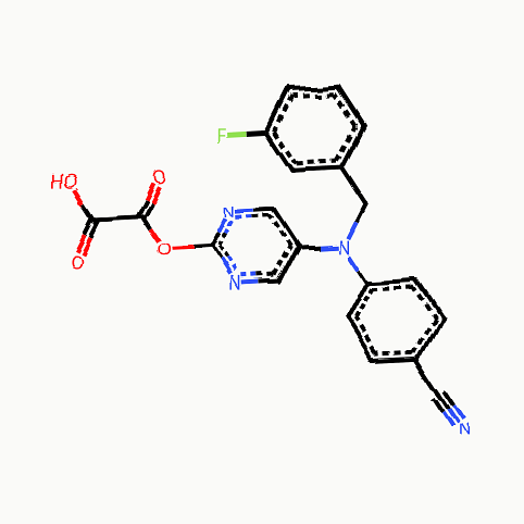 N#Cc1ccc(N(Cc2cccc(F)c2)c2cnc(OC(=O)C(=O)O)nc2)cc1